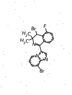 CC1(C)N=C(c2cnc3c(Br)cccn23)c2cccc(F)c2C1Br